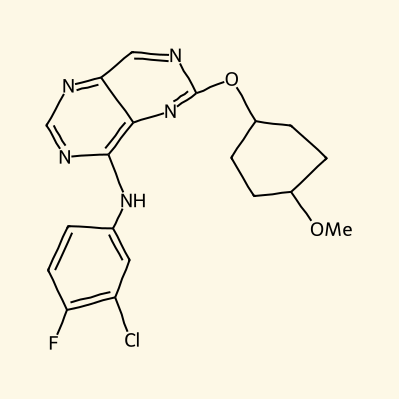 COC1CCC(Oc2ncc3ncnc(Nc4ccc(F)c(Cl)c4)c3n2)CC1